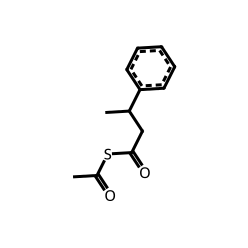 CC(=O)SC(=O)CC(C)c1ccccc1